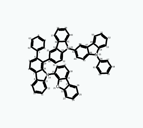 c1ccc(-c2ccc3c4ccccc4n(-c4cccc5c4oc4ccccc45)c3c2-c2ccc3c(c2)c2ccccc2n3-c2ccc3c(c2)c2ccccc2n3-c2ccccc2)cc1